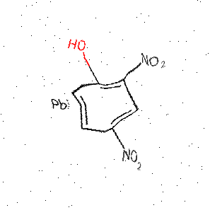 O=[N+]([O-])c1ccc(O)c([N+](=O)[O-])c1.[Pb]